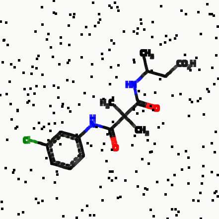 CC(CC(=O)O)NC(=O)C(C)(C)C(=O)Nc1cccc(Cl)c1